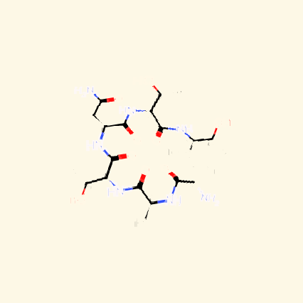 CC[C@H](C)[C@H](N)C(=O)N[C@H](C(=O)N[C@H](C(=O)N[C@@H](CC(N)=O)C(=O)N[C@H](C(=O)N[C@H](C(=O)O)[C@@H](C)O)[C@@H](C)O)[C@@H](C)O)C(C)C